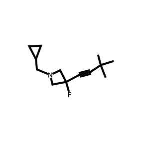 CC(C)(C)C#CC1(F)CN(CC2CC2)C1